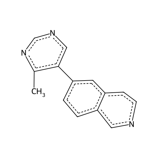 Cc1ncncc1-c1ccc2cnccc2c1